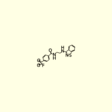 O=C(NCCNc1nsc2ccccc12)c1ccc(S(=O)(=O)F)cc1